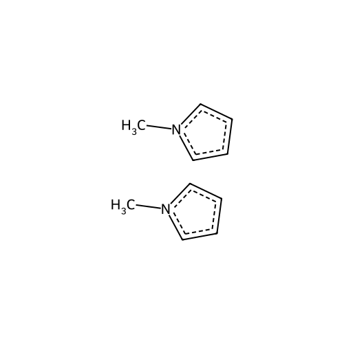 Cn1cccc1.Cn1cccc1